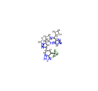 Nc1ncc(-c2cc3n(n2)CC[C@@]32CCN(C(c3nnc[nH]3)C3CCC3)C2)cc1C(F)(F)F